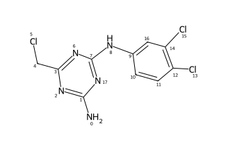 Nc1nc(CCl)nc(Nc2ccc(Cl)c(Cl)c2)n1